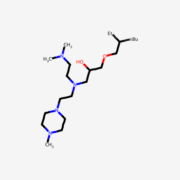 CCCCC(CC)COCC(O)CN(CCN(C)C)CCN1CCN(C)CC1